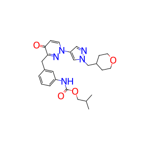 CC(C)COC(=O)Nc1cccc(Cc2nn(-c3cnn(CC4CCOCC4)c3)ccc2=O)c1